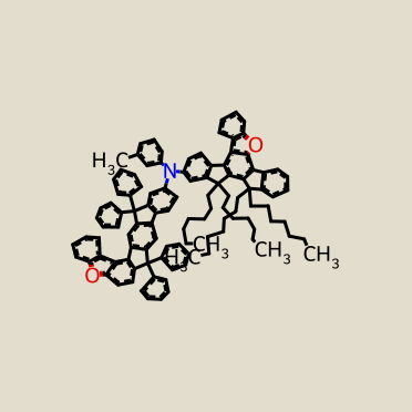 CCCCCCCC1(CCCCCCC)c2ccccc2-c2c1c1c(c3c2oc2ccccc23)-c2ccc(N(c3cccc(C)c3)c3ccc4c(c3)C(c3ccccc3)(c3ccccc3)c3cc5c(cc3-4)C(c3ccccc3)(c3ccccc3)c3ccc4oc6ccccc6c4c3-5)cc2C1(CCCCCCC)CCCCCCC